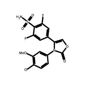 COc1cc(-n2c(-c3cc(F)c(S(N)(=O)=O)c(F)c3)coc2=O)ccc1Cl